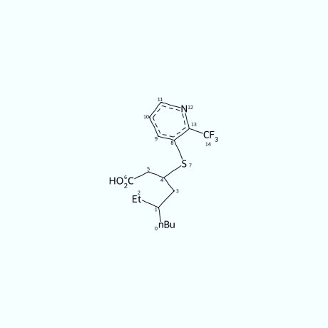 CCCCC(CC)CC(CC(=O)O)Sc1cccnc1C(F)(F)F